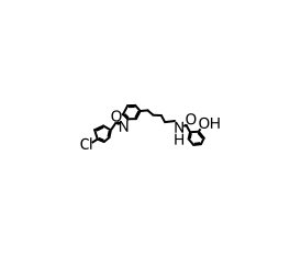 O=C(NCCCCCc1ccc2oc(-c3ccc(Cl)cc3)nc2c1)c1ccccc1O